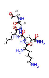 CCCC[C@H](NC(=O)[C@H](CCC(N)=O)NC(=O)[C@@H](N)CCCCN)C(=O)N[C@@H](C)C(=O)N[C@@H](C)[C]=O